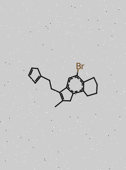 CC1=C(CCC2=CC=CC2)c2cc(Br)c3c(c2C1)CCCC3